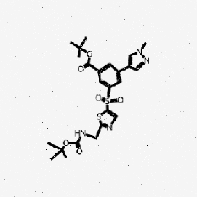 Cn1cc(-c2cc(C(=O)OC(C)(C)C)cc(S(=O)(=O)c3cnc(CNC(=O)OC(C)(C)C)s3)c2)cn1